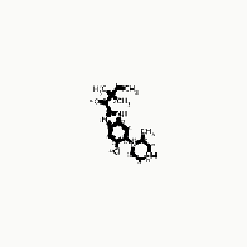 CCC(C)(C)C(=O)c1nc2cc(Cl)c(N3CCNCC3C)cc2[nH]1